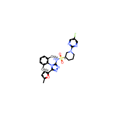 COc1cccc(OC)c1-n1c(NS(=O)(=O)[C@@H]2CCCN(c3ncc(F)cn3)C2)nnc1-c1ccc(C)o1